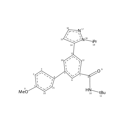 COc1ccc(-c2cc(C(=O)NC(C)(C)C)cc(-c3ccnn3C(C)C)c2)cc1